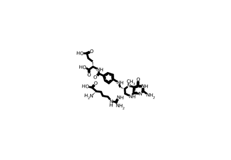 CN1c2c(nc(N)[nH]c2=O)NC[C@@H]1CNc1ccc(C(=O)N[C@@H](CCC(=O)O)C(=O)O)cc1.N=C(N)NCCC[C@H](N)C(=O)O